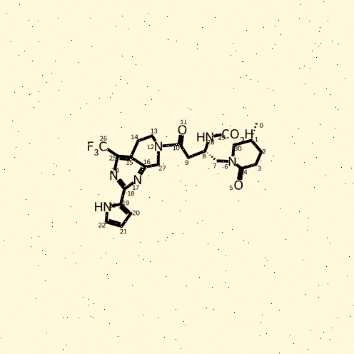 C[C@@H]1CCC(=O)N(C[C@H](CC(=O)N2CCc3c(nc(-c4ccc[nH]4)nc3C(F)(F)F)C2)NC(=O)O)C1